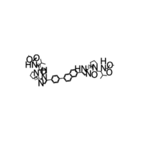 COC(=O)NC(C(=O)N1CCC[C@H]1c1ncc(-c2ccc3cc(-c4ccc(-c5cnc([C@@H]6CCCN6C(=O)[C@@H](NC(=O)OC)C(C)C)[nH]5)cc4)ccc3c2)[nH]1)C(C)C